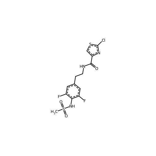 CS(=O)(=O)Nc1c(F)cc(CCNC(=O)c2csc(Cl)n2)cc1F